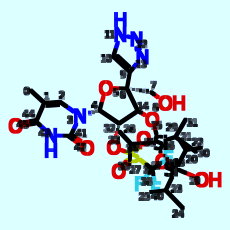 Cc1cn([C@@H]2O[C@@](CO)(c3c[nH]nn3)C(O[Si](O[Si](O)(C(C)C)C(C)C)(C(C)C)C(C)C)[C@@H]2OS(=O)(=O)C(F)(F)F)c(=O)[nH]c1=O